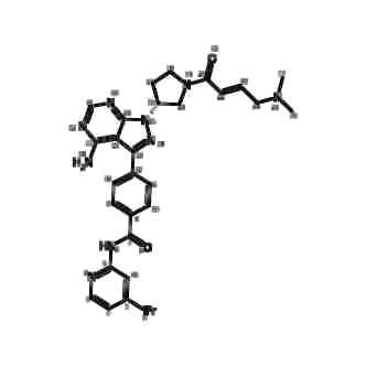 CC(C)c1ccnc(NC(=O)c2ccc(-c3nn([C@@H]4CCN(C(=O)C=CCN(C)C)C4)c4ncnc(N)c34)cc2)c1